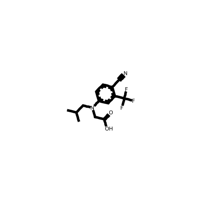 CC(C)CN(CC(=O)O)c1ccc(C#N)c(C(F)(F)F)c1